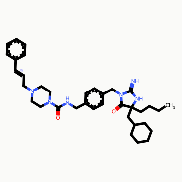 CCCCC1(CC2CCCCC2)NC(=N)N(Cc2ccc(CNC(=O)N3CCN(C/C=C/c4ccccc4)CC3)cc2)C1=O